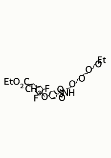 CCOCCOCCOCCOCCNS(=O)(=O)c1ccc(Oc2c(F)cc(/C=C(\C)C(=O)OCC)cc2F)cc1